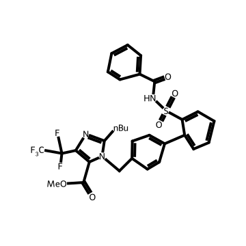 CCCCc1nc(C(F)(F)C(F)(F)F)c(C(=O)OC)n1Cc1ccc(-c2ccccc2S(=O)(=O)NC(=O)c2ccccc2)cc1